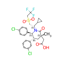 C[C@@]1(CC(=O)O)C[C@H](c2cccc(Cl)c2)[C@@H](c2ccc(Cl)cc2)N([C@H](CS(=O)(=O)CC(F)(F)F)C2CC2)C1=O